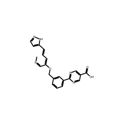 C\N=C/C(=C\C=C\c1ccn[nH]1)OCc1cccc(-c2ncc(C(=O)O)cn2)c1